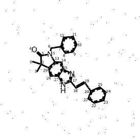 CC1(C)C(=O)N(Cc2ccccc2)c2cc3nc(/C=C/c4ccccc4)[nH]c3cc21